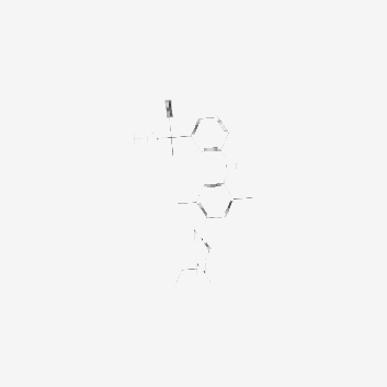 C#CC(C)(O)c1cccc(Oc2cc(C)c(/N=C/N(C)CC)cc2C)c1